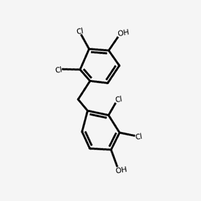 Oc1ccc(Cc2ccc(O)c(Cl)c2Cl)c(Cl)c1Cl